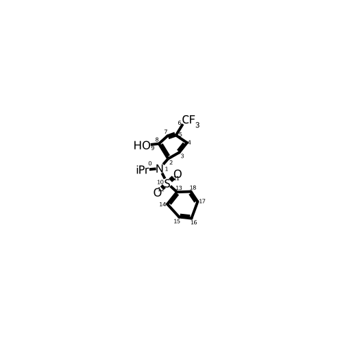 CC(C)N(c1ccc(C(F)(F)F)cc1O)S(=O)(=O)c1ccccc1